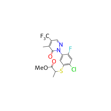 COC(=O)C(C)Sc1cc(-n2ncc(C(F)(F)F)c(C)c2=O)c(F)cc1Cl